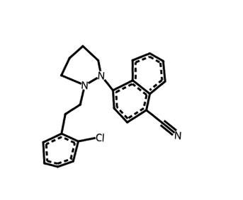 N#Cc1ccc(N2CCCCN2CCc2ccccc2Cl)c2ccccc12